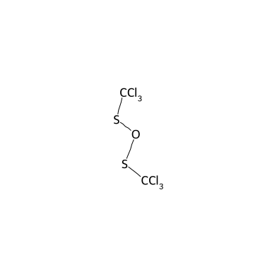 ClC(Cl)(Cl)SOSC(Cl)(Cl)Cl